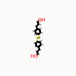 OC=CCc1ccc(SSc2ccc(CC=CO)cc2)cc1